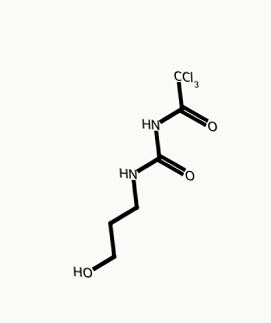 O=C(NCCCO)NC(=O)C(Cl)(Cl)Cl